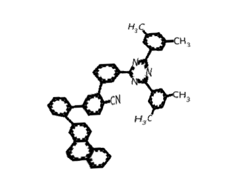 Cc1cc(C)cc(-c2nc(-c3cc(C)cc(C)c3)nc(-c3cccc(-c4cc(-c5ccccc5-c5ccc6c(ccc7ccccc76)c5)ccc4C#N)c3)n2)c1